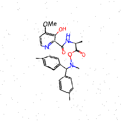 COc1ccnc(C(=O)N[C@@H](C)C(=O)ON(C)C(c2ccc(C)cc2)c2ccc(C)cc2)c1O